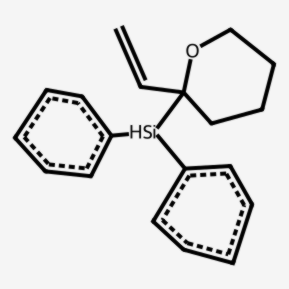 C=CC1([SiH](c2ccccc2)c2ccccc2)CCCCO1